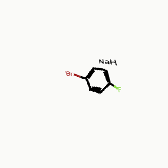 Fc1ccc(Br)cc1.[NaH]